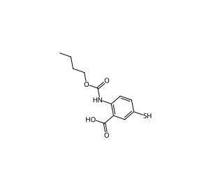 CCCCOC(=O)Nc1ccc(S)cc1C(=O)O